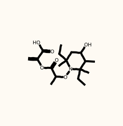 C=C(OC(=O)C(C)ON1C(C)(CC)CC(O)C(C)C1(C)CC)C(=O)O